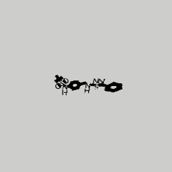 CC(C)(C)S(=O)(=O)Nc1ccc(CNc2nnc(-c3ccccc3)s2)cc1